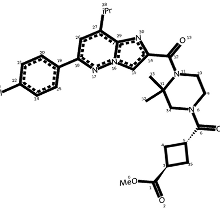 COC(=O)[C@H]1C[C@H](C(=O)N2CCN(C(=O)c3cn4nc(-c5ccc(Cl)cc5)cc(C(C)C)c4n3)C(C)(C)C2)C1